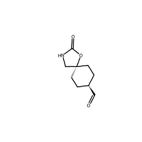 O=C[C@H]1CC[C@]2(CC1)CNC(=O)O2